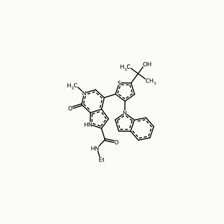 CCNC(=O)c1cc2c(-c3sc(C(C)(C)O)cc3-n3ccc4ccccc43)cn(C)c(=O)c2[nH]1